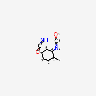 CC1CCCCC1N=C=O.N=C=O